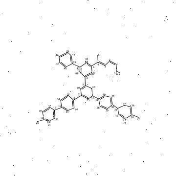 CC/C=C\C=C(/C)c1nc(C2=CC(c3ccc(-c4ccc(C)nc4)cc3)=CC(c3ccc(C4C=NC(C)=CC4)cc3)C2)nc(-c2ccccc2)n1